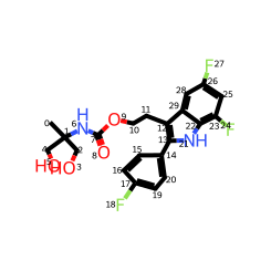 CC(CO)(CO)NC(=O)OCCc1c(-c2ccc(F)cc2)[nH]c2c(F)cc(F)cc12